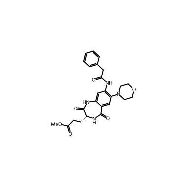 COC(=O)CC[C@H]1NC(=O)c2cc(N3CCOCC3)c(NC(=O)Cc3ccccc3)cc2NC1=O